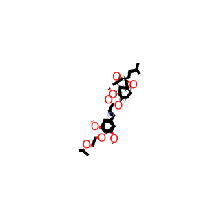 COc1cc(/C=C/C(=O)O[C@@H]2CC[C@]3(CO3)[C@@H](C3(C)O[C@H]3CC=C(C)C)[C@@H]2OC)cc(OC)c1OCCOC(C)C